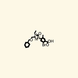 CCn1c(COCc2ccccc2)nn(-c2cc(Br)c(C(=O)O)cc2C)c1=O